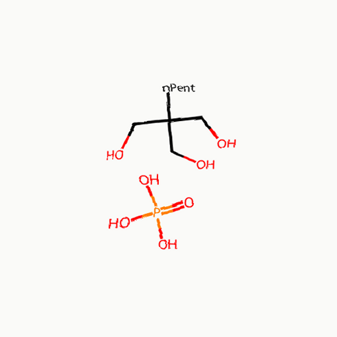 CCCCCC(CO)(CO)CO.O=P(O)(O)O